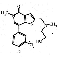 CN(CCO)Cc1cc2c(=O)n(C)cc(-c3ccc(Cl)c(Cl)c3)c2s1